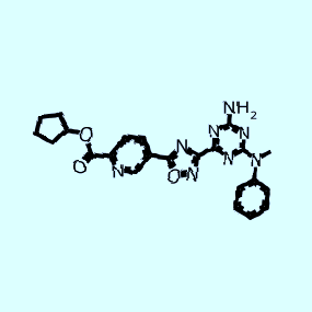 CN(c1ccccc1)c1nc(N)nc(-c2noc(-c3ccc(C(=O)OC4CCCC4)nc3)n2)n1